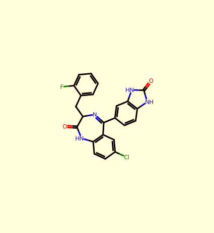 O=C1Nc2ccc(Cl)cc2C(c2ccc3[nH]c(=O)[nH]c3c2)=NC1Cc1ccccc1F